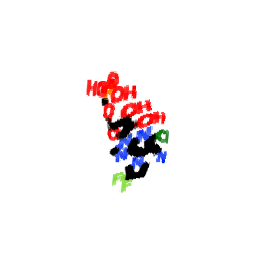 N#Cc1c(Cl)nc2c(ncn2[C@@H]2O[C@H](COCP(=O)(O)O)[C@@H](O)[C@H]2O)c1N1CCC(F)(F)C1